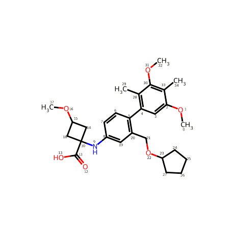 COc1cc(-c2ccc(NC3(C(=O)O)CC(OC)C3)cc2COC2CCCC2)c(C)c(OC)c1C